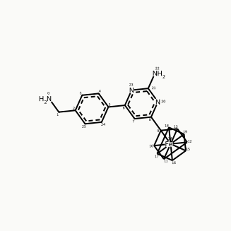 NCc1ccc(-c2cc([C]34[CH]5[CH]6[CH]7[CH]3[Fe]6754389%10[CH]4[CH]3[CH]8[CH]9[CH]4%10)nc(N)n2)cc1